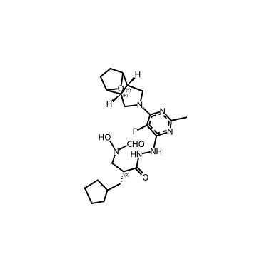 Cc1nc(NNC(=O)[C@H](CC2CCCC2)CN(O)C=O)c(F)c(N2C[C@@H]3C4CCC(O4)[C@@H]3C2)n1